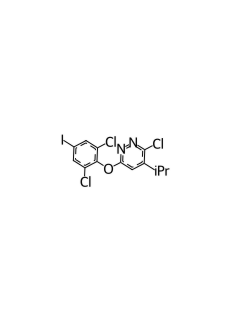 CC(C)c1cc(Oc2c(Cl)cc(I)cc2Cl)nnc1Cl